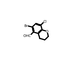 O=Cc1c(Br)cc(Cl)c2c1CCCO2